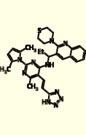 CCC(Nc1nc(-n2c(C)ccc2C)nc(C)c1/C=C/c1nnn[nH]1)c1cc2ccccc2nc1N1CCSCC1